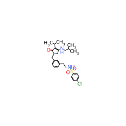 CC(C)CNC1=C(C(C)C)C(=O)C(Cc2cccc(CCNS(=O)(=O)c3ccc(Cl)cc3)c2)C1